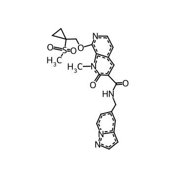 Cn1c(=O)c(C(=O)NCc2ccn3nccc3c2)cc2ccnc(OCC3(S(C)(=O)=O)CC3)c21